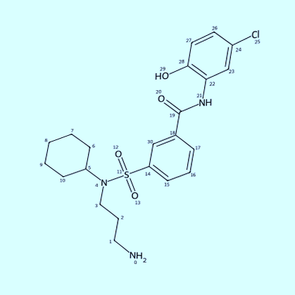 NCCCN(C1CCCCC1)S(=O)(=O)c1cccc(C(=O)Nc2cc(Cl)ccc2O)c1